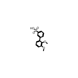 COc1cccc(-c2cccc(S(=O)(=O)O)c2)c1OC